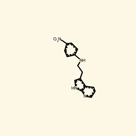 O=[N+]([O-])c1ccc(NCCc2c[nH]c3ncccc23)cc1